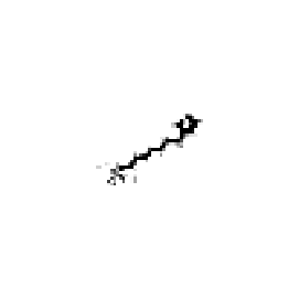 O=P(O)(O)CCCCCCCCc1ccsc1